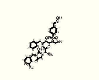 CC[C@H](C)[C@@H](C(=O)N[C@@H](Cc1ccccc1)[C@H](O)CN(CC(C)C)S(=O)(=O)c1ccc(/C=N/O)cc1)N1CC(=O)N(Cc2ccnc(C(C)=O)c2)C1=O